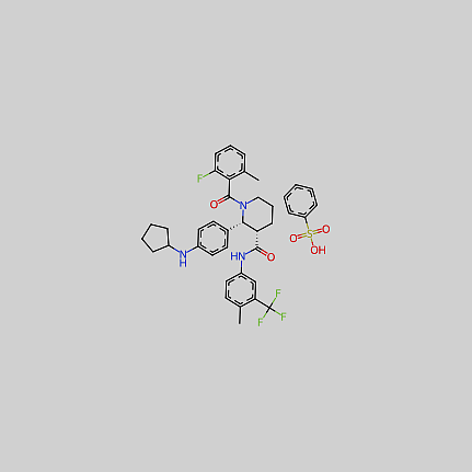 Cc1ccc(NC(=O)[C@H]2CCCN(C(=O)c3c(C)cccc3F)[C@H]2c2ccc(NC3CCCC3)cc2)cc1C(F)(F)F.O=S(=O)(O)c1ccccc1